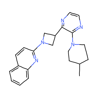 CC1CCN(c2nccnc2C2CN(c3ccc4ccccc4n3)C2)CC1